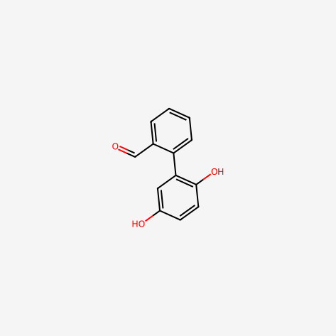 O=Cc1ccccc1-c1cc(O)ccc1O